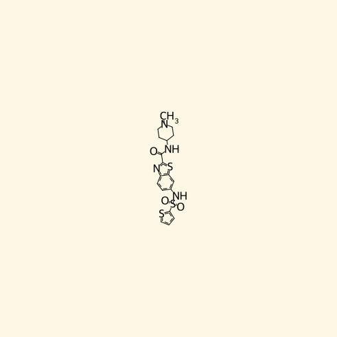 CN1CCC(NC(=O)c2nc3ccc(NS(=O)(=O)c4cccs4)cc3s2)CC1